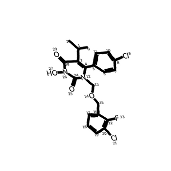 CC(C)c1c(-c2ccc(Cl)cc2)n(COCc2cccc(Cl)c2F)c(=O)n(O)c1=O